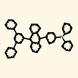 c1ccc(-c2cc(-c3ccccc3)cc(-c3c4ccccc4c(-c4ccc(N(c5ccccc5)c5ccccc5)cc4)c4ccccc34)c2)cc1